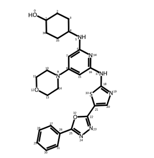 OC1CCC(Nc2cc(N3CCOCC3)cc(Nc3ncc(-c4nnc(-c5ccccc5)o4)s3)n2)CC1